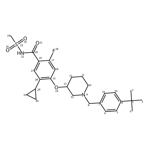 CC(C)(C)c1ccc(CN2CCCC(Oc3cc(F)c(C(=O)NS(C)(=O)=O)cc3C3CC3)C2)cc1